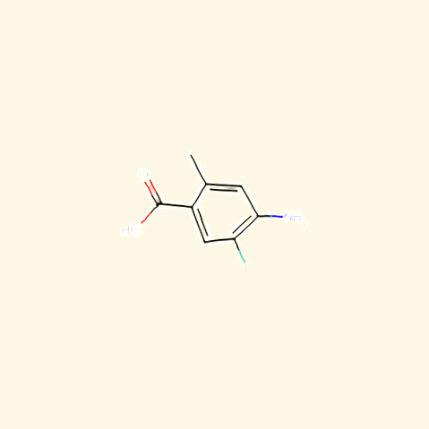 Cc1cc(N)c(F)cc1C(=O)O